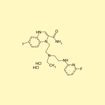 CCN(CCNc1cccc(F)n1)CCN1C(C(N)=O)=CNc2cc(I)ccc21.Cl.Cl